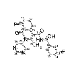 Cc1c(C(=O)N[C@@H](O)c2cccc(F)c2)c2cccc(F)c2c(=O)n1-c1cncnc1